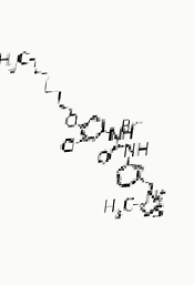 CCCCCCCCOc1ccc(NC(=O)Nc2cccc(C[n+]3cscc3C)c2)cc1Cl.[Br-]